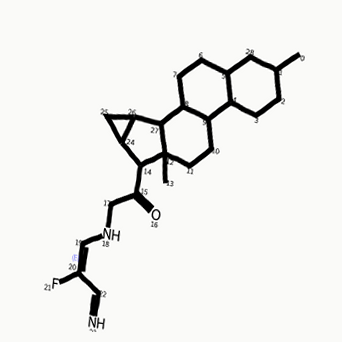 CC1CCC2C(CCC3C2CCC2(C)C(C(=O)CN/C=C(/F)C=N)C4CC4C32)C1